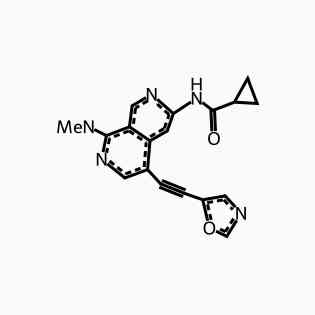 CNc1ncc(C#Cc2cnco2)c2cc(NC(=O)C3CC3)ncc12